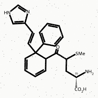 CSC(C[C@H](N)C(=O)O)C(=O)C1C=CC=CC1(C=Cc1c[nH]cn1)c1ccccc1